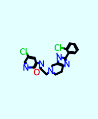 Cn1c(-c2ccccc2Cl)nc2c1CN(Cc1nc3cc(Cl)cnc3o1)CC2